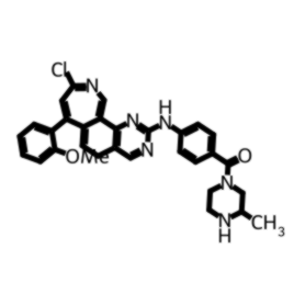 COc1ccccc1C1=CC(Cl)=NC=C2C1=CCc1cnc(Nc3ccc(C(=O)N4CCNC(C)C4)cc3)nc12